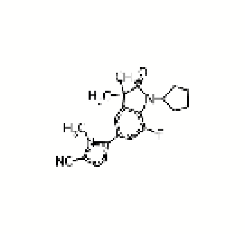 Cn1c(C#N)ccc1-c1cc(F)c2c(c1)C(C)(C)C(=O)N2C1CCCC1